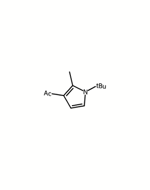 CC(=O)c1ccn(C(C)(C)C)c1C